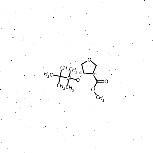 COC(=O)[C@@H]1COC[C@H]1O[Si](C)(C)C(C)(C)C